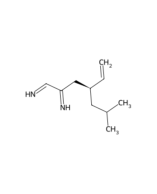 C=C[C@H](CC(=N)C=N)CC(C)C